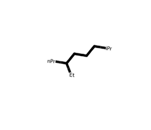 CCC[C](CC)CCCC(C)C